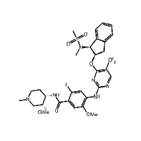 COc1cc(C(=O)N[C@H]2CCN(C)C[C@H]2OC)c(F)cc1Nc1ncc(C(F)(F)F)c(O[C@@H]2Cc3ccccc3[C@@H]2N(C)S(C)(=O)=O)n1